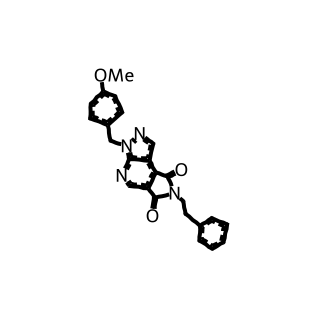 COc1ccc(Cn2ncc3c4c(cnc32)C(=O)N(CCc2ccccc2)C4=O)cc1